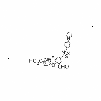 CC(CC(=O)Oc1c(F)cc(-c2nc(-c3ccc(N4CCCC4)cc3)ns2)cc1C=O)[C@H](N)C(=O)O